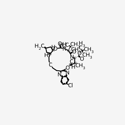 C=C1C[C@H]2CCCCCc3nc4ccc(Cl)cc4nc3O[C@H]3CN(C(=O)[C@H](C(C)(C)C)NC(=O)O[C@@H]2C1)[C@H](C(=O)OC(C)(C)C)[C@@H]3C